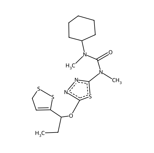 CCC(Oc1nnc(N(C)C(=O)N(C)C2CCCCC2)s1)C1=CCSS1